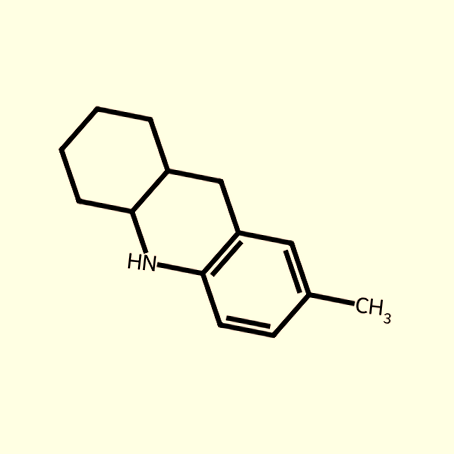 Cc1ccc2c(c1)CC1CCCCC1N2